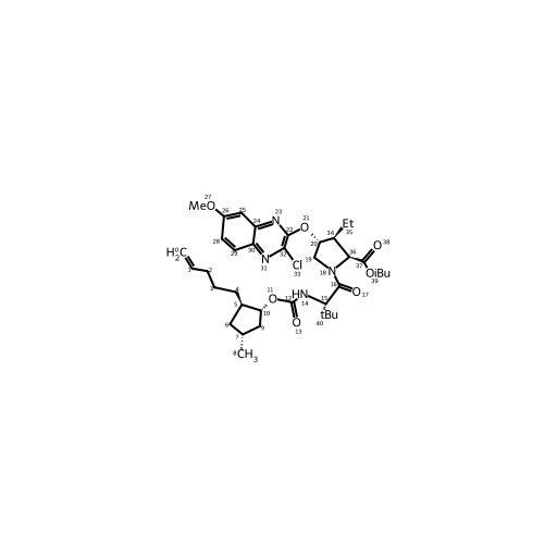 C=CCCC[C@@H]1C[C@@H](C)C[C@H]1OC(=O)N[C@H](C(=O)N1C[C@H](Oc2nc3cc(OC)ccc3nc2Cl)[C@@H](CC)[C@H]1C(=O)OCC(C)C)C(C)(C)C